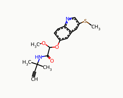 C#CC(C)(C)NC(=O)C(OC)Oc1ccc2ncc(SC)cc2c1